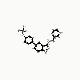 FC(F)(F)Oc1ccc(-c2ccc3onc(OCc4cnccn4)c3c2)cc1